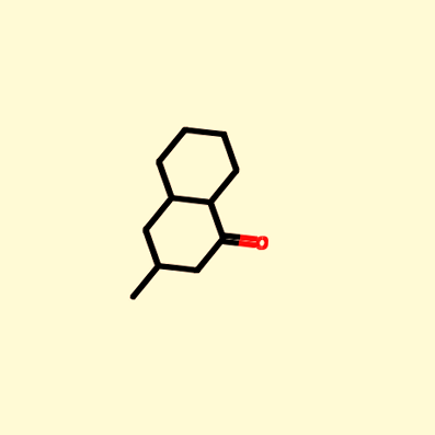 CC1CC(=O)C2CCCCC2C1